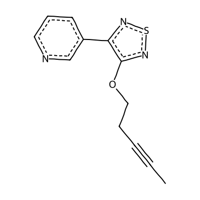 CC#CCCOc1nsnc1-c1cccnc1